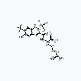 CC(C)(C)c1cc2c(cc1Cl)C=C(C(=O)N[C@@H](CCCNC(=N)N)C(=O)O)[C@@H](C(F)(F)F)O2